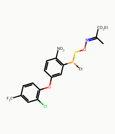 CCOC(=O)C(C)=NOSP(CC)c1cc(Oc2ccc(C(F)(F)F)cc2Cl)ccc1[N+](=O)[O-]